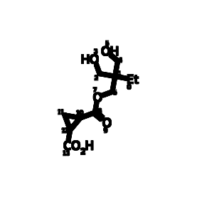 CCC(CO)(CO)COC(=O)C1CC1C(=O)O